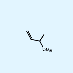 [C]OC(C)C=C